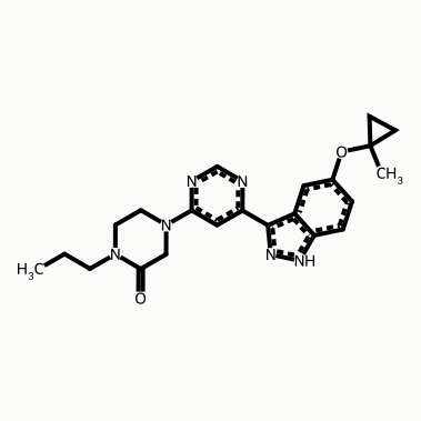 CCCN1CCN(c2cc(-c3n[nH]c4ccc(OC5(C)CC5)cc34)ncn2)CC1=O